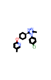 Cc1ccc(O[C@H]2CC[C@H](c3nnc(C)n3-c3ccc(Cl)cc3)CC2)nc1